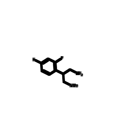 CNCC(CN)c1ccc(F)cc1F